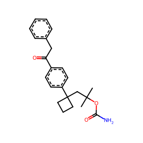 CC(C)(CC1(c2ccc(C(=O)Cc3ccccc3)cc2)CCC1)OC(N)=O